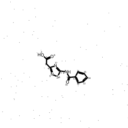 O=C(O)Cc1nsc(NC(=O)c2ccccc2)n1